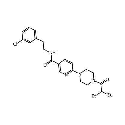 CCC(CC)C(=O)N1CCN(c2ccc(C(=O)NCCc3cccc(Cl)c3)cn2)CC1